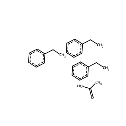 CC(=O)O.[CH2]Cc1ccccc1.[CH2]Cc1ccccc1.[CH2]Cc1ccccc1